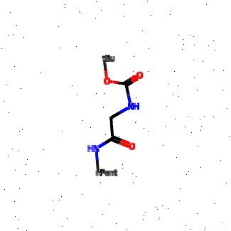 CCCCCNC(=O)CNC(=O)OC(C)(C)C